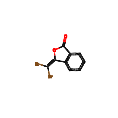 O=C1OC(=C(Br)Br)c2ccccc21